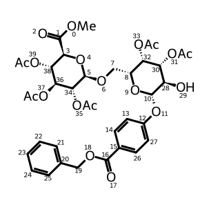 COC(=O)[C@H]1O[C@@H](OC[C@H]2O[C@@H](Oc3ccc(C(=O)OCc4ccccc4)cc3)[C@H](O)[C@@H](OC(C)=O)[C@H]2OC(C)=O)[C@H](OC(C)=O)[C@@H](OC(C)=O)[C@@H]1OC(C)=O